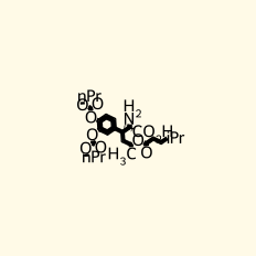 CCCOC(=O)Oc1ccc(C(CC(C)OC(=O)CCC(C)C)[C@H](N)C(=O)O)cc1OC(=O)OCCC